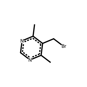 Cc1ncnc(C)c1CBr